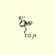 [B+2]c1ccc(CCC(=O)O)cc1.[OH-].[OH-]